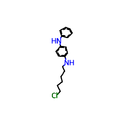 ClCCCCCCNc1ccc(Nc2ccccc2)cc1